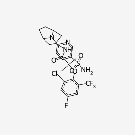 CC(C)(Oc1c(Cl)cc(F)cc1C(F)(F)F)C(=O)NC1CC2CCC(C1)N2c1ccc(S(N)(=O)=O)cn1